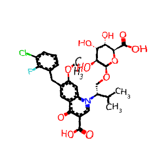 COc1cc2c(cc1Cc1cccc(Cl)c1F)c(=O)c(C(=O)O)cn2[C@H](CO[C@@H]1O[C@H](C(=O)O)[C@@H](O)[C@@H](O)[C@@H]1O)C(C)C